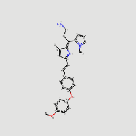 Bn1cccc1/C(CCN)=C1N=C(/C=C/c2ccc(Oc3ccc(OC)cc3)cc2)C=C\1C